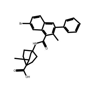 Cc1c(-c2ccccc2)cc2ccc(Br)cc2c1C(=O)NC12CCC(C(=O)O)(CC1)C(C)C2